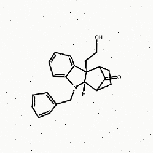 O=C1C2CCC1[C@@]1(CCO)c3ccccc3N(Cc3ccccc3)[C@@H]21